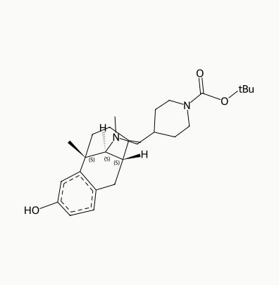 CC1CC[C@@]2(C)c3cc(O)ccc3C[C@@H]1[C@@H]2N(C)CC1CCN(C(=O)OC(C)(C)C)CC1